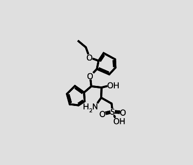 CCOc1ccccc1OC(c1ccccc1)C(O)C(N)CS(=O)(=O)O